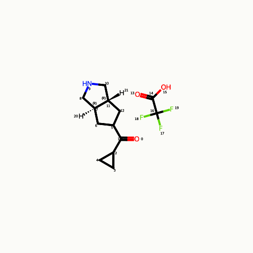 O=C(C1CC1)C1C[C@H]2CNC[C@@H]2C1.O=C(O)C(F)(F)F